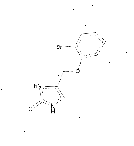 O=c1[nH]cc(COc2ccccc2Br)[nH]1